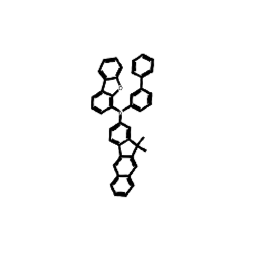 CC1(C)c2cc(N(c3cccc(-c4ccccc4)c3)c3cccc4c3oc3ccccc34)ccc2-c2cc3ccccc3cc21